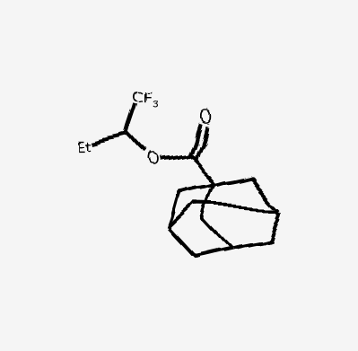 CCC(OC(=O)C12CC3CC(CC(C3)C1)C2)C(F)(F)F